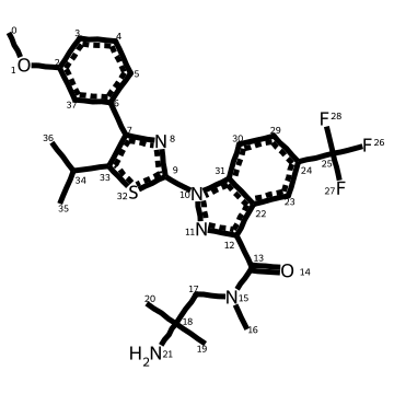 COc1cccc(-c2nc(-n3nc(C(=O)N(C)CC(C)(C)N)c4cc(C(F)(F)F)ccc43)sc2C(C)C)c1